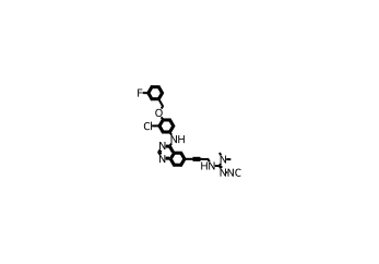 [C-]#[N+]/N=C(/NCC#Cc1ccc2ncnc(Nc3ccc(OCc4cccc(F)c4)c(Cl)c3)c2c1)N(C)C